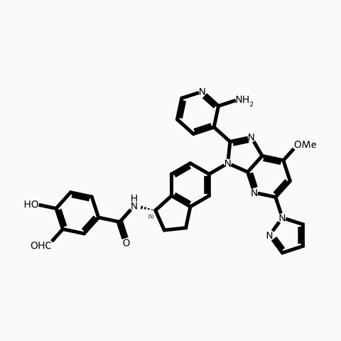 COc1cc(-n2cccn2)nc2c1nc(-c1cccnc1N)n2-c1ccc2c(c1)CC[C@@H]2NC(=O)c1ccc(O)c(C=O)c1